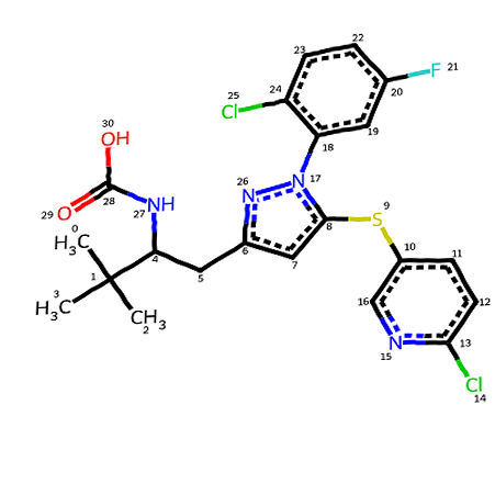 CC(C)(C)C(Cc1cc(Sc2ccc(Cl)nc2)n(-c2cc(F)ccc2Cl)n1)NC(=O)O